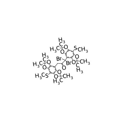 CSc1c2c(c(CC(=O)C(Br)(Br)c3c4c(c(SC)c5c3OC(C)(C)O5)OC(C)(C)O4)c3c1OC(C)(C)O3)OC(C)(C)O2